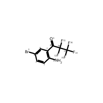 Nc1ccc(Br)cc1C(=O)C(F)(F)C(F)(F)F